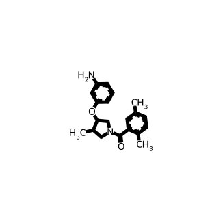 Cc1ccc(C)c(C(=O)N2CC(C)C(Oc3cccc(N)c3)C2)c1